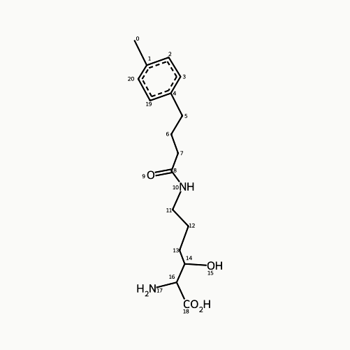 Cc1ccc(CCCC(=O)NCCCC(O)C(N)C(=O)O)cc1